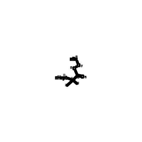 CCCCCCCC(C)(C)C(=O)OOCCCC